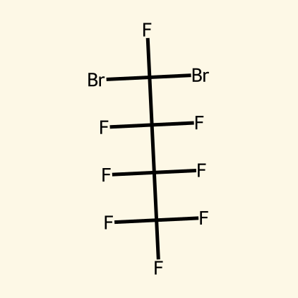 FC(F)(F)C(F)(F)C(F)(F)C(F)(Br)Br